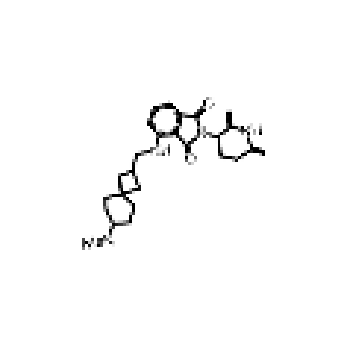 C=C1CCC(N2C(=O)c3cccc(NCC4CC5(CCC(NC)CC5)C4)c3C2=O)C(=C)N1